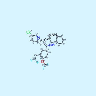 C=C(NC)[C@H](N[C@H](CCc1ccc(Cl)cn1)c1ccc(OC(F)F)c(CC(F)F)c1)c1ccccc1